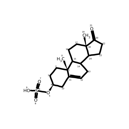 C[C@]12CC[C@H](OS(=O)(=O)O)CC1=CCC1C2CC[C@]2(C)C(=O)CCC12